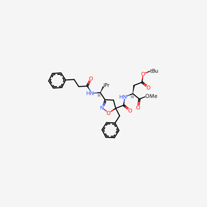 COC(=O)[C@H](CC(=O)OC(C)(C)C)NC(=O)C1(Cc2ccccc2)CC([C@@H](NC(=O)CCc2ccccc2)C(C)C)=NO1